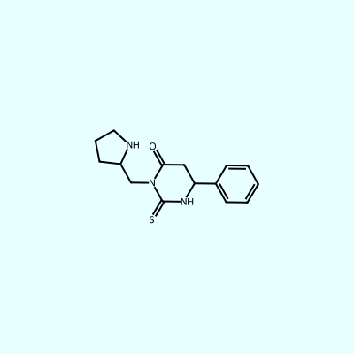 O=C1CC(c2ccccc2)NC(=S)N1CC1CCCN1